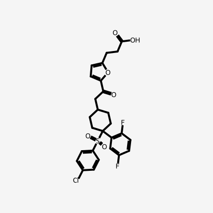 O=C(O)CCc1ccc(C(=O)CC2CCC(c3cc(F)ccc3F)(S(=O)(=O)c3ccc(Cl)cc3)CC2)o1